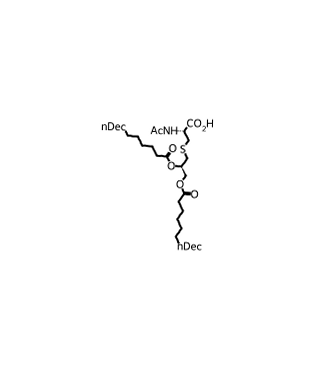 CCCCCCCCCCCCCCCC(=O)OC[C@H](CSC[C@H](NC(C)=O)C(=O)O)OC(=O)CCCCCCCCCCCCCCC